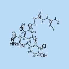 CCN(CC)CCN(C)CCOc1cc(F)c2c(-c3ccc(O)c(Cl)c3)nc3[nH]nc(C)c3c2c1OC